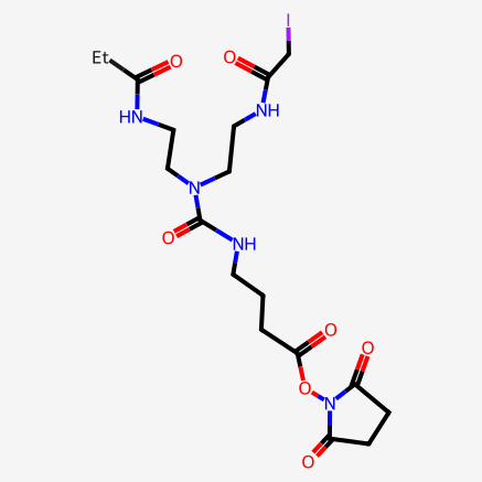 CCC(=O)NCCN(CCNC(=O)CI)C(=O)NCCCC(=O)ON1C(=O)CCC1=O